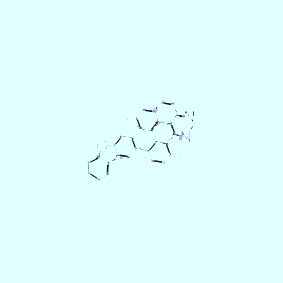 c1cc(-c2ccc3oc4ccccc4c3c2)cc(-c2ncnc3ccc4ccccc4c23)c1